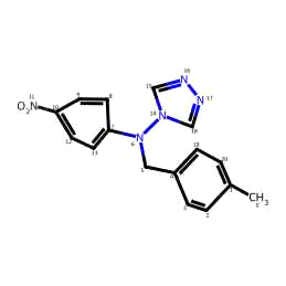 Cc1ccc(CN(c2ccc([N+](=O)[O-])cc2)n2cnnc2)cc1